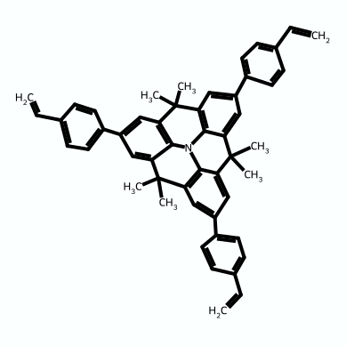 C=Cc1ccc(-c2cc3c4c(c2)C(C)(C)c2cc(-c5ccc(C=C)cc5)cc5c2N4c2c(cc(-c4ccc(C=C)cc4)cc2C5(C)C)C3(C)C)cc1